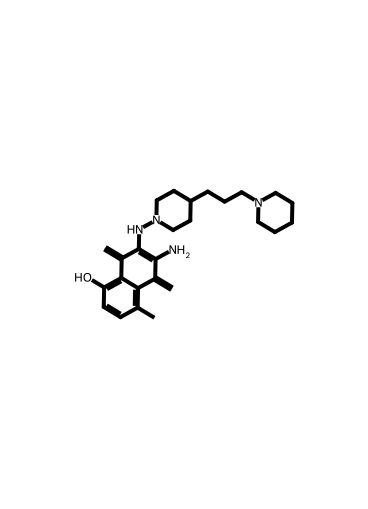 C=c1c(N)c(NN2CCC(CCCN3CCCCC3)CC2)c(=C)c2c(O)ccc(C)c12